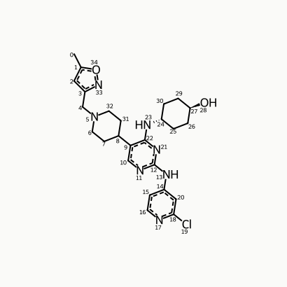 Cc1cc(CN2CCC(c3cnc(Nc4ccnc(Cl)c4)nc3N[C@H]3CC[C@H](O)CC3)CC2)no1